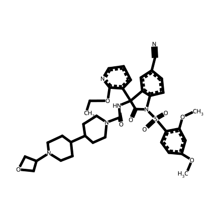 CCOc1ncccc1C1(NC(=O)N2CCC(C3CCN(C4COC4)CC3)CC2)C(=O)N(S(=O)(=O)c2ccc(OC)cc2OC)c2ccc(C#N)cc21